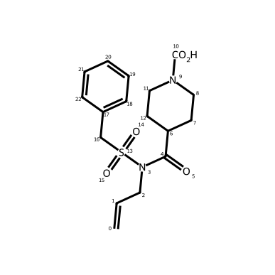 C=CCN(C(=O)C1CCN(C(=O)O)CC1)S(=O)(=O)Cc1ccccc1